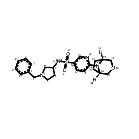 O=S(=O)(NC1CCN(Cc2ccccc2)C1)c1ccc(N2[C@@H]3CC[C@H]2COC3)nc1